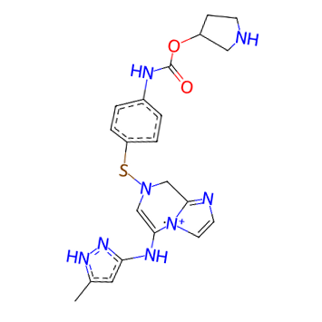 Cc1cc(NC2=CN(Sc3ccc(NC(=O)OC4CCNC4)cc3)CC3=NC=C[N+]23)n[nH]1